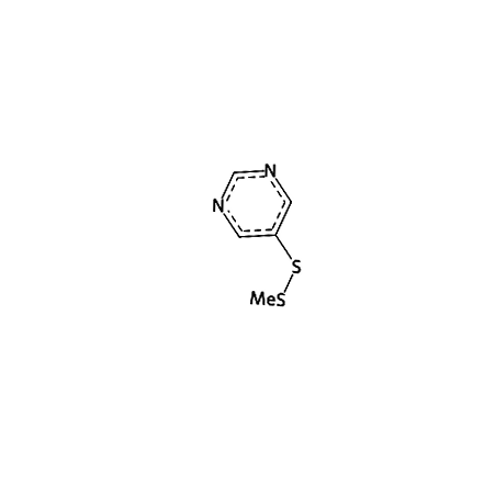 CSSc1cncnc1